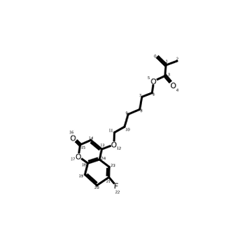 C=C(C)C(=O)OCCCCCCOc1cc(=O)oc2ccc(F)cc12